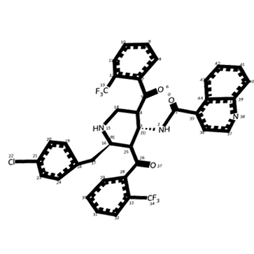 O=C(N[C@H]1C(C(=O)c2ccccc2C(F)(F)F)CN[C@H](Cc2ccc(Cl)cc2)C1C(=O)c1ccccc1C(F)(F)F)c1ccnc2ccccc12